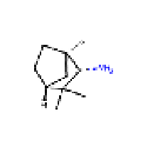 CC1(C)[C@@H]2CC[C@](C)(C2)[C@@H]1N